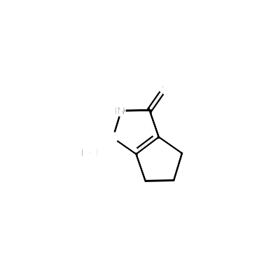 Cl.O=c1[nH]sc2c1CCC2